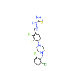 NC(=S)N/N=C/c1ccc(N2CCN(Cc3c(F)cccc3Cl)CC2)c(F)c1F